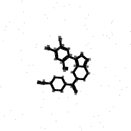 CO[C@H]1CC[C@@H](C(=O)N2CCc3noc(-c4cc(Cl)c(O)cc4O)c3C2)CC1